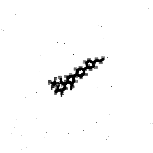 C=C(OC(F)(F)F)/C(F)=C\C(=CC)c1ccc(-c2ccc(C3CCC(CCC)CC3)cc2)cc1F